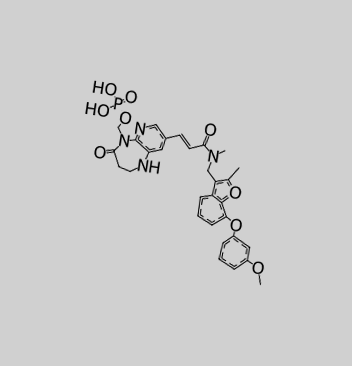 COc1cccc(Oc2cccc3c(CN(C)C(=O)C=Cc4cnc5c(c4)NCCC(=O)N5COP(=O)(O)O)c(C)oc23)c1